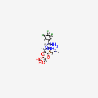 CCCSC1OC(CO)C(O)OC1CN(N)/C=C(\N)c1cc(F)c(F)c(F)c1